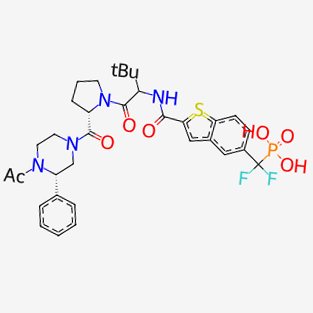 CC(=O)N1CCN(C(=O)[C@@H]2CCCN2C(=O)C(NC(=O)c2cc3cc(C(F)(F)P(=O)(O)O)ccc3s2)C(C)(C)C)C[C@@H]1c1ccccc1